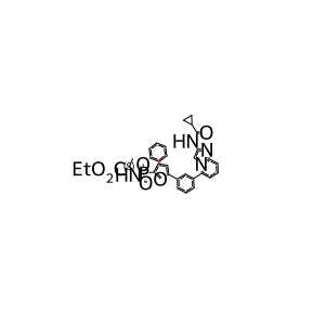 CCOC(=O)[C@H](C)NP(=O)(Oc1ccccc1)c1ccc(-c2cccc(-c3cccc4nc(NC(=O)C5CC5)cn34)c2)o1